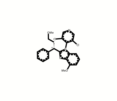 COCC[C@@H](c1ccccc1)c1nc2c(OC)cccc2n1-c1c(Cl)cncc1Cl